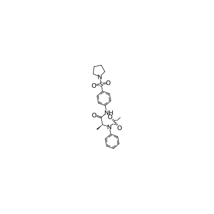 C[C@@H](C(=O)Nc1ccc(S(=O)(=O)N2CCCC2)cc1)N(c1ccccc1)S(C)(=O)=O